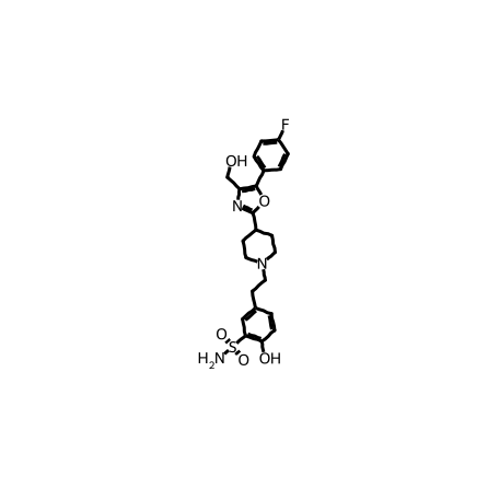 NS(=O)(=O)c1cc(CCN2CCC(c3nc(CO)c(-c4ccc(F)cc4)o3)CC2)ccc1O